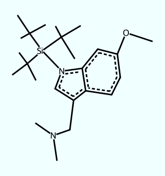 COc1ccc2c(CN(C)C)cn([Si](C(C)(C)C)(C(C)(C)C)C(C)(C)C)c2c1